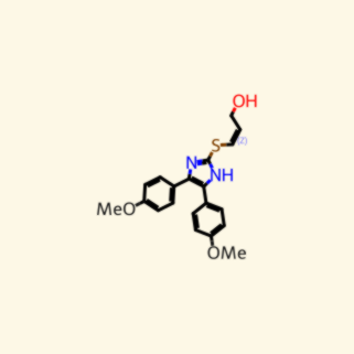 COc1ccc(-c2nc(S/C=C\CO)[nH]c2-c2ccc(OC)cc2)cc1